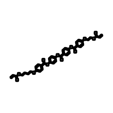 C=CC(=O)OCCCCOc1ccc(C(=O)Oc2ccc(OC(=O)c3ccc(OC(=O)c4ccc(OCCOC(=O)C=C)cc4)cc3)cc2)cc1